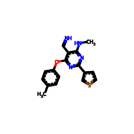 CNc1nc(-c2ccsc2)nc(Oc2ccc(C)cc2)c1C=N